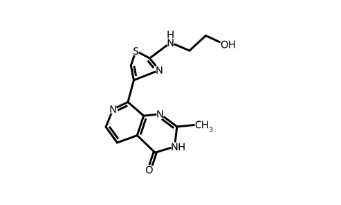 Cc1nc2c(-c3csc(NCCO)n3)nccc2c(=O)[nH]1